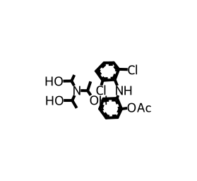 CC(=O)Oc1ccccc1Nc1c(Cl)cccc1Cl.CC(O)N(C(C)O)C(C)O